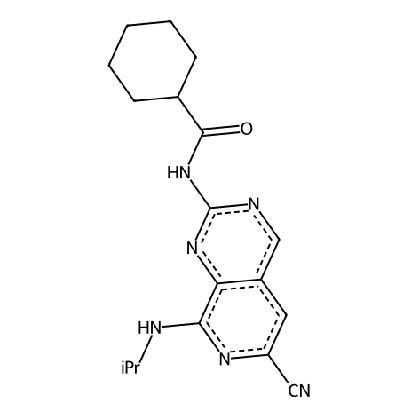 CC(C)Nc1nc(C#N)cc2cnc(NC(=O)C3CCCCC3)nc12